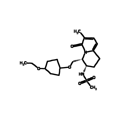 CCOC1CCC(OC[C@H]2[C@@H](NS(C)(=O)=O)CCc3ccc(C)c(=O)n32)CC1